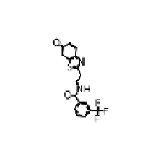 O=C1C=Cc2nc(CCNC(=O)c3cccc(C(F)(F)F)c3)sc2C1